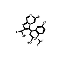 O=C(O)CC(c1cc(Cl)ccc1OC(F)F)c1c(C(=O)O)nc2cnc(Br)cn12